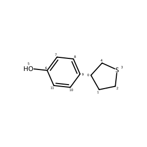 C1CCSC1.Oc1ccccc1